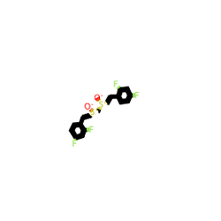 [O-][S+](C=Cc1ccc(F)cc1F)C[S+]([O-])C=Cc1ccc(F)cc1F